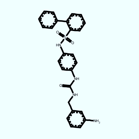 Nc1cccc(CNC(=O)Nc2ccc(NS(=O)(=O)c3ccccc3-c3ccccc3)cc2)c1